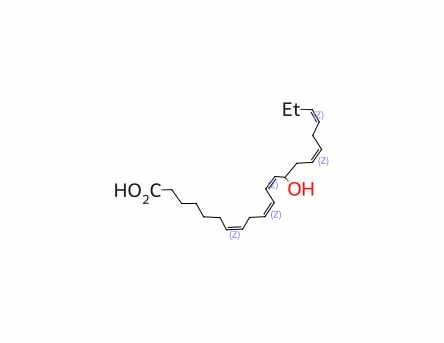 CC/C=C\C/C=C\CC(O)/C=C\C=C/C/C=C\CCCCCC(=O)O